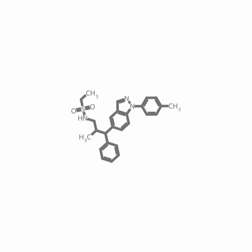 CCS(=O)(=O)NCC(C)C(c1ccccc1)c1ccc2c(cnn2-c2ccc(C)cc2)c1